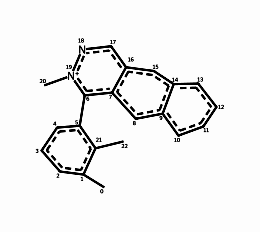 Cc1cccc(-c2c3cc4ccccc4cc3cn[n+]2C)c1C